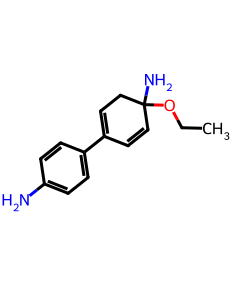 CCOC1(N)C=CC(c2ccc(N)cc2)=CC1